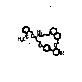 COc1ccccc1COCCCOc1ccc(C2CCNCC2OCc2ccc3c(c2)N(CCCN)CCC3)cc1